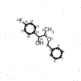 CC(OCc1ccccc1)C(O)c1ccc(F)cc1